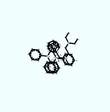 CCN(CC)CCN(C)[C@H](C)[C@]12[CH]3[CH]4[CH]5[C]1(P(c1ccccc1)c1ccccc1)[Fe]45321678[CH]2[CH]1[CH]6[C]7(P(c1ccccc1)c1ccccc1)[CH]28